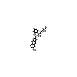 CC(C)(C)[C@H]1CCc2nc3sc(C(=O)N[C@H](CCNCCF)c4ccccc4)cc3cc2C1